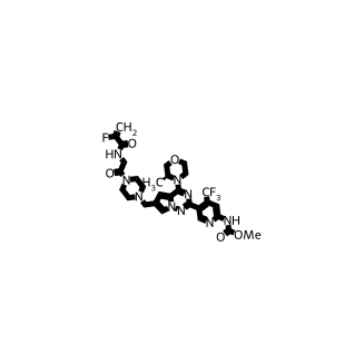 C=C(F)C(=O)NCC(=O)N1CCN(Cc2cc3c(N4CCOC[C@@H]4C)nc(-c4cnc(NC(=O)OC)cc4C(F)(F)F)nn3c2)CC1